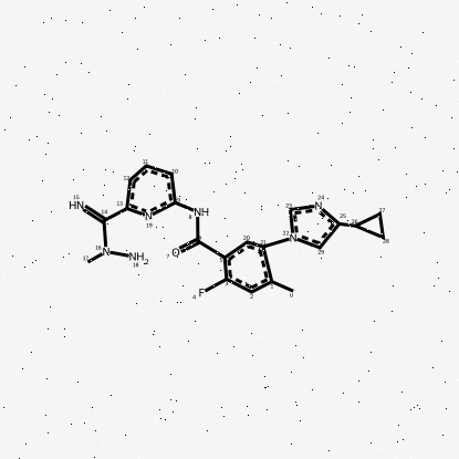 Cc1cc(F)c(C(=O)Nc2cccc(C(=N)N(C)N)n2)cc1-n1cnc(C2CC2)c1